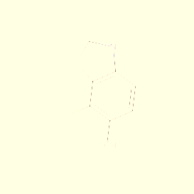 Cc1ccc2c(c1S)S[CH]N2